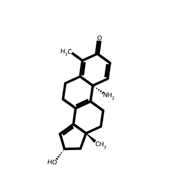 CC1=C2CCC3=C(CC[C@]4(C)C[C@H](O)C=C34)[C@]2(N)C=CC1=O